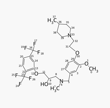 COc1cc(CN(C)CC(O)COc2cc(C(F)(F)F)ccc2C(F)(F)F)ccc1OCCN1CCC(C)CC1